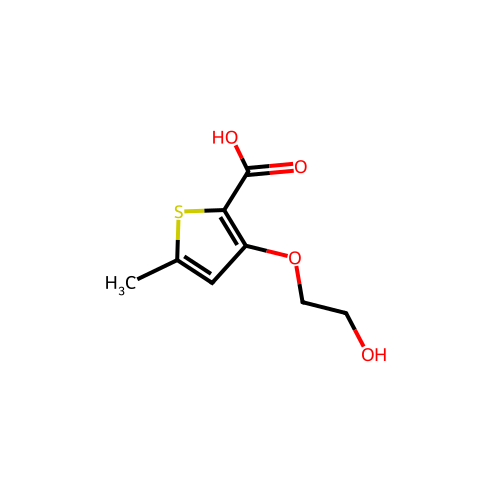 Cc1cc(OCCO)c(C(=O)O)s1